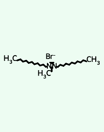 CCCCCCCCCCCCn1cc[n+](CCCCCCCCCCCC)c1CC.[Br-]